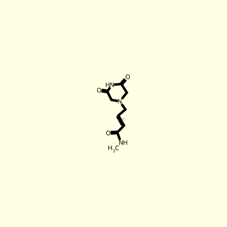 CNC(=O)/C=C/CN1CC(=O)NC(=O)C1